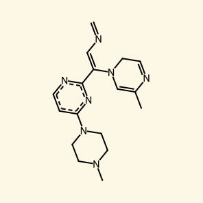 C=N/C=C(/c1nccc(N2CCN(C)CC2)n1)N1C=C(C)N=CC1